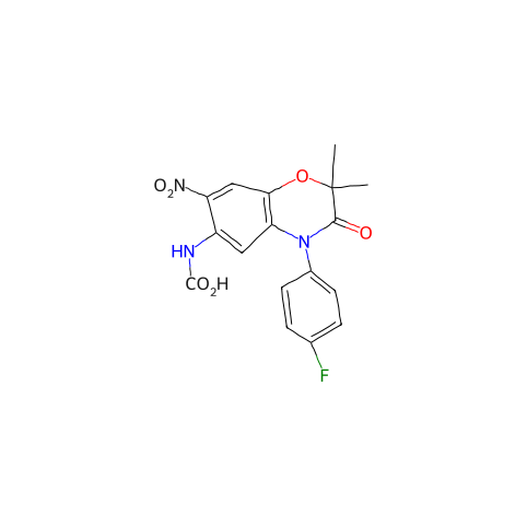 CC1(C)Oc2cc([N+](=O)[O-])c(NC(=O)O)cc2N(c2ccc(F)cc2)C1=O